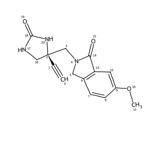 C#C[C@@]1(CN2Cc3ccc(OC)cc3C2=O)CNC(=O)N1